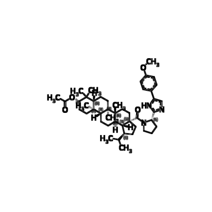 COc1ccc(-c2cnc([C@@H]3CCCN3C(=O)[C@]34CC[C@@H](C(C)C)[C@@H]3[C@H]3CC[C@@H]5[C@@]6(C)CC[C@H](OC(C)=O)C(C)(C)[C@@H]6CC[C@@]5(C)[C@]3(C)CC4)[nH]2)cc1